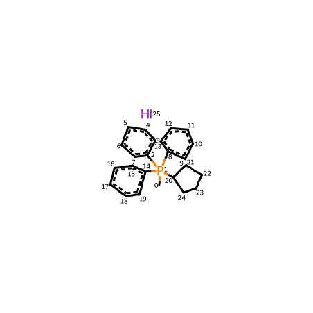 CP(c1ccccc1)(c1ccccc1)(c1ccccc1)C1CCCC1.I